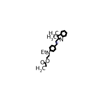 C=CC(=O)OCCN(CC)c1ccc(/C=C/C2=Nc3ccccc3C2(C)C)cc1